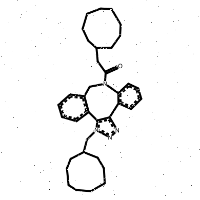 O=C(CC1CCCCCCCC1)N1Cc2ccccc2-c2c(nnn2CC2CCCCCCCC2)-c2ccccc21